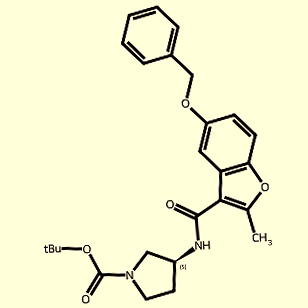 Cc1oc2ccc(OCc3ccccc3)cc2c1C(=O)N[C@H]1CCN(C(=O)OC(C)(C)C)C1